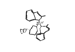 CC1=Cc2ccccc2[CH]1[Zr+2]([CH3])([CH]1CCCCC1)[CH]1C(C)=Cc2ccccc21.[Cl-].[Cl-]